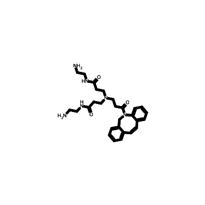 NCCNC(=O)CCN(CCC(=O)NCCN)CCC(=O)N1Cc2ccccc2/C=C\c2ccccc21